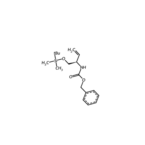 C=C[C@H](CO[Si](C)(C)C(C)(C)C)NC(=O)OCc1ccccc1